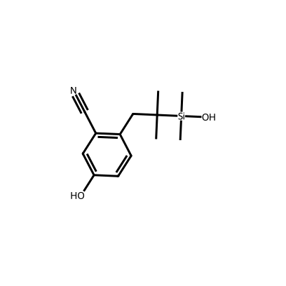 CC(C)(Cc1ccc(O)cc1C#N)[Si](C)(C)O